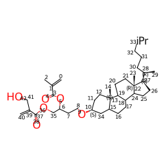 C=C(C)C(=O)OC(CCO[C@H]1CC[C@@]2(C)C(CCC3C2CC[C@@]2(C)C3CC[C@@H]2[C@H](C)CCCC(C)C)C1)COC(=O)C(=C)CO